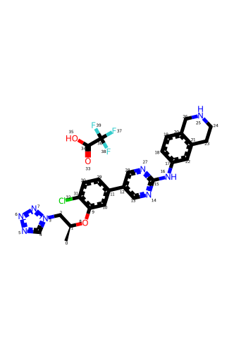 C[C@@H](Cn1cnnn1)Oc1cc(-c2cnc(Nc3ccc4c(c3)CCNC4)nc2)ccc1Cl.O=C(O)C(F)(F)F